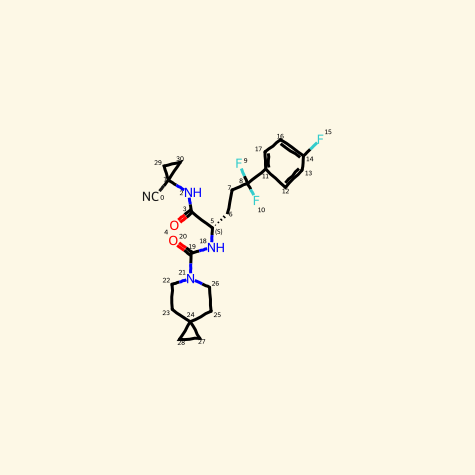 N#CC1(NC(=O)[C@H](CCC(F)(F)c2ccc(F)cc2)NC(=O)N2CCC3(CC2)CC3)CC1